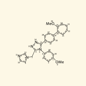 COc1ccc(-n2c(Cn3ccnc3)nnc2-c2ccc(-c3ccccc3OC)cc2)cc1